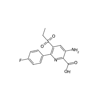 CCS(=O)(=O)c1cc(N)c(C(=O)O)nc1-c1ccc(F)cc1